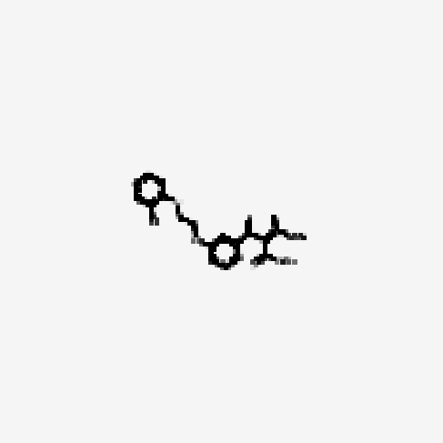 CN/C(C)=C(\C(=O)OC)C(=O)c1cccc(OCCOc2ccccc2Cl)c1